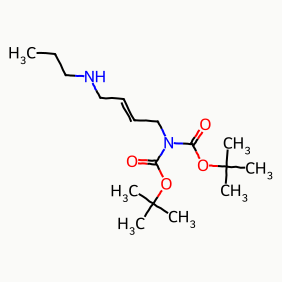 CCCNC/C=C/CN(C(=O)OC(C)(C)C)C(=O)OC(C)(C)C